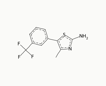 Cc1nc(N)sc1-c1cccc(C(F)(F)F)c1